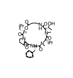 CC(C)C[C@@H]1OC(=O)CCNC(=O)[C@H](C(C)O)N(C)C(=O)[C@H](C(C)C)N(C)C(=O)[C@H](Cc2ccccc2)NC(=O)[C@@H]2CCCN2C1=O